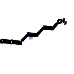 CC=C/C=C/N=C=O